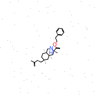 C=C(C)CC[C@@]1(C)CC[C@@]2(C)CN[C@](C)(C(=C)OCCc3ccccc3)C[C@@]2(C)C1